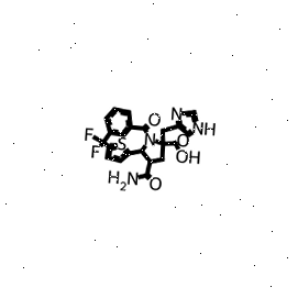 NC(=O)C1CC(Cc2c[nH]cn2)(C(=O)O)N(C(=O)c2cccc(C(F)(F)F)c2)C1c1cccs1